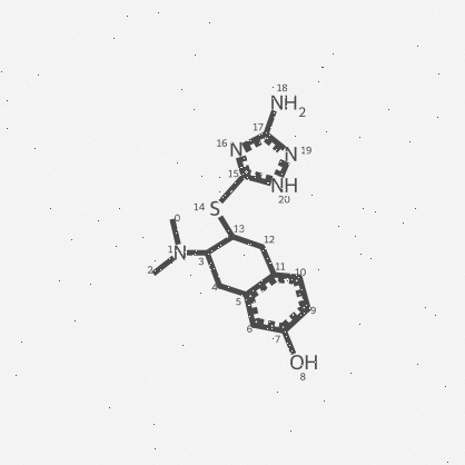 CN(C)C1Cc2cc(O)ccc2CC1Sc1nc(N)n[nH]1